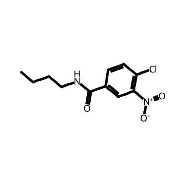 CCCCNC(=O)c1ccc(Cl)c([N+](=O)[O-])c1